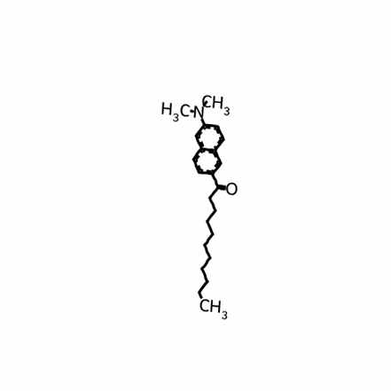 CCCCCCCCCCC(=O)c1ccc2cc(N(C)C)ccc2c1